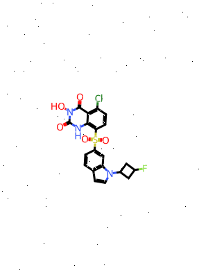 O=c1[nH]c2c(S(=O)(=O)c3ccc4ccn(C5CC(F)C5)c4c3)ccc(Cl)c2c(=O)n1O